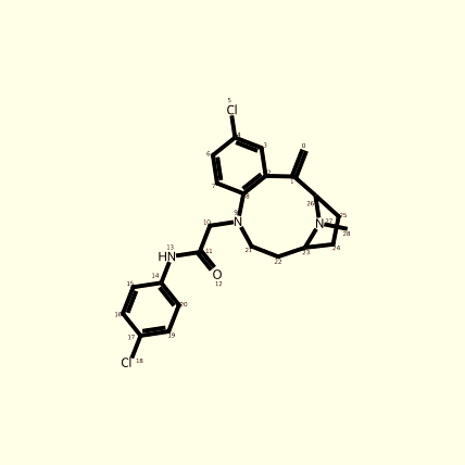 C=C1c2cc(Cl)ccc2N(CC(=O)Nc2ccc(Cl)cc2)CCC2CCC1N2C